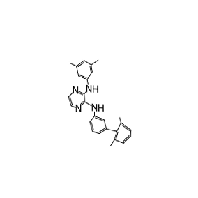 Cc1cc(C)cc(Nc2nccnc2Nc2cccc(-c3c(C)cccc3C)c2)c1